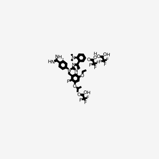 CCOc1cc(CN(c2ccc(C(=N)N)cc2)c2nc(-c3ccccc3N(C)C)c[nH]2)c(F)c(OC(C)C)c1.O=C(O)C(F)(F)F.O=C(O)C(F)(F)F.O=C(O)C(F)(F)F